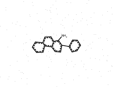 Nc1c(-c2ccccc2)ccc2c1ccc1ccccc12